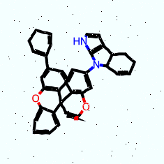 C1=CC(c2ccc3c(c2)Oc2ccccc2C32C3=CCCC=C3Oc3cc(N4c5[nH]ccc5C5CCC=CC54)ccc32)=CCC1